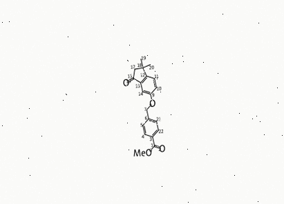 COC(=O)c1ccc(COc2ccc3c(c2)C(=O)CC3(C)C)cc1